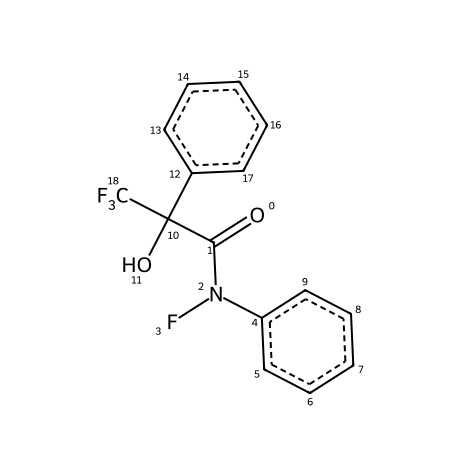 O=C(N(F)c1ccccc1)C(O)(c1ccccc1)C(F)(F)F